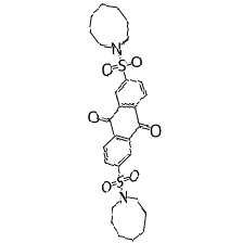 O=C1c2ccc(S(=O)(=O)N3CCCCCCC3)cc2C(=O)c2ccc(S(=O)(=O)N3CCCCCCC3)cc21